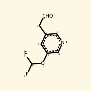 O=CCc1cncc(OC(F)F)c1